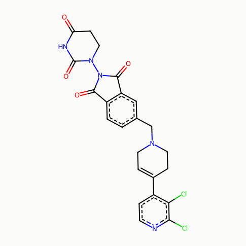 O=C1CCN(N2C(=O)c3ccc(CN4CC=C(c5ccnc(Cl)c5Cl)CC4)cc3C2=O)C(=O)N1